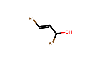 OC(Br)C=CBr